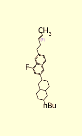 C/C=C/CCc1ccc2cc(C3CCC4CC(CCCC)CCC4C3)cc(F)c2c1